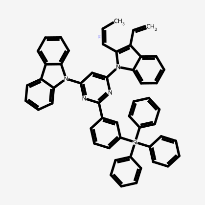 C=Cc1c(/C=C\C)n(-c2cc(-n3c4ccccc4c4ccccc43)nc(-c3cccc([Si](c4ccccc4)(c4ccccc4)c4ccccc4)c3)n2)c2ccccc12